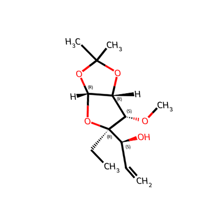 C=C[C@H](O)[C@@]1(CC)O[C@@H]2OC(C)(C)O[C@@H]2[C@@H]1OC